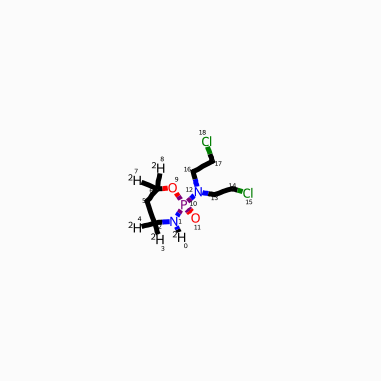 [2H]N1C([2H])([2H])CC([2H])([2H])OP1(=O)N(CCCl)CCCl